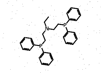 CCN(CCP(c1ccccc1)c1ccccc1)CCP(c1ccccc1)c1ccccc1